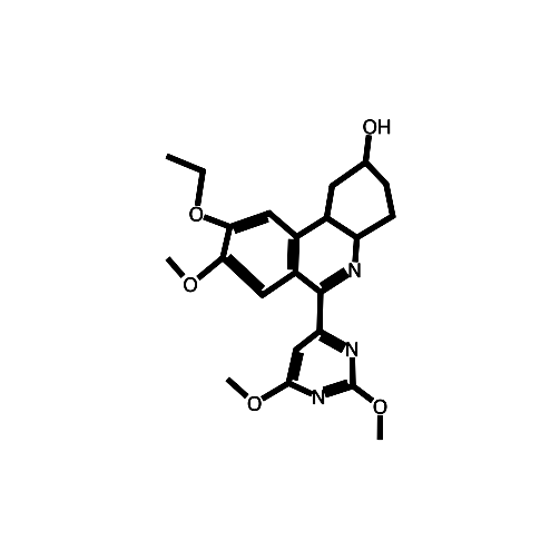 CCOc1cc2c(cc1OC)C(c1cc(OC)nc(OC)n1)=NC1CCC(O)CC21